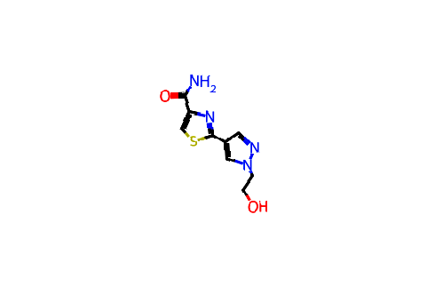 NC(=O)c1csc(-c2cnn(CCO)c2)n1